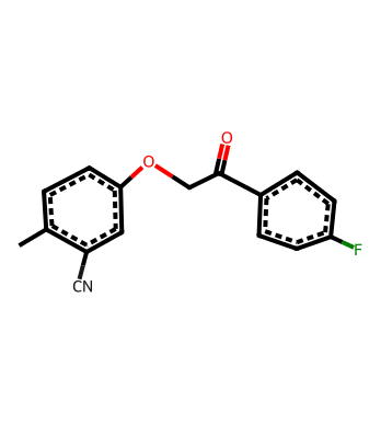 Cc1ccc(OCC(=O)c2ccc(F)cc2)cc1C#N